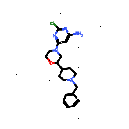 Nc1cc(N2CCOC(C3CCN(Cc4ccccc4)CC3)C2)nc(Cl)n1